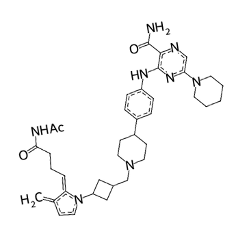 C=c1ccn(C2CC(CN3CCC(c4ccc(Nc5nc(N6CCCCC6)cnc5C(N)=O)cc4)CC3)C2)/c1=C/CCC(=O)NC(C)=O